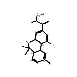 CCCCCC(C)C(C)C1=CC2OC(C)(C)C3C=CC(C)=CC3C2C(O)=C1